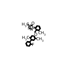 Cc1cc(-c2ccccc2F)c(C)cc1OCc1c(C)cccc1-n1nnn(C)c1=O